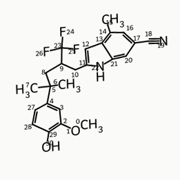 COc1cc(C(C)(C)CC(Cc2cc3c(C)cc(C#N)cc3[nH]2)C(F)(F)F)ccc1O